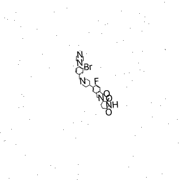 CN1CCN(c2ccc(CN3CCC(c4cc5c(cc4F)C(=O)N(C4CCC(=O)NC4=O)C5)CC3)cc2Br)CC1